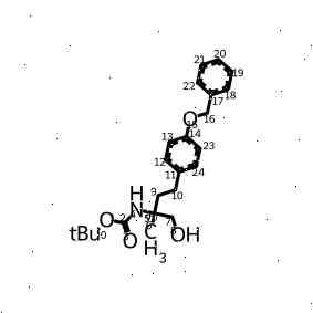 CC(C)(C)OC(=O)N[C@@](C)(CO)CCc1ccc(OCc2ccccc2)cc1